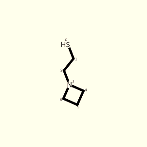 SCCN1CCC1